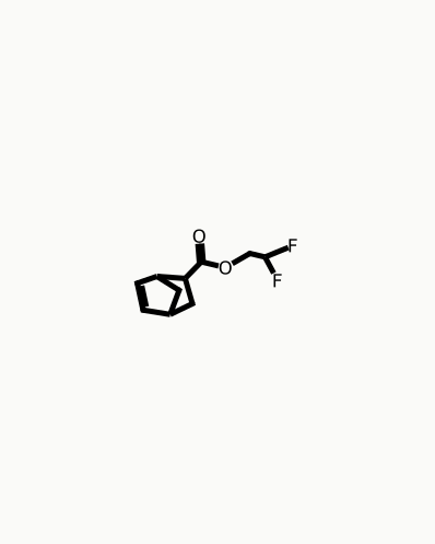 O=C(OCC(F)F)C1CC2C=CC1C2